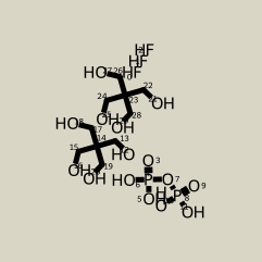 F.F.F.O=P(O)(O)OP(=O)(O)O.OCC(CO)(CO)CO.OCC(CO)(CO)CO